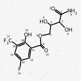 NC(=O)C(O)C(O)COC(=O)c1cc(F)cc(C(F)(F)F)c1O